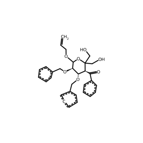 C=CCOC1OC(CO)(CO)[C@@H](C(=O)c2ccccc2)[C@H](OCc2ccccc2)[C@H]1OCc1ccccc1